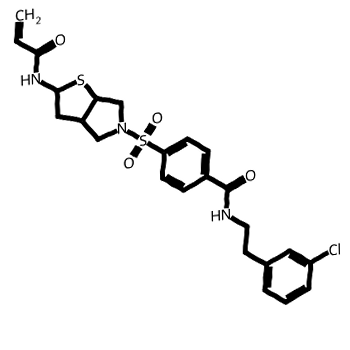 C=CC(=O)NC1CC2CN(S(=O)(=O)c3ccc(C(=O)NCCc4cccc(Cl)c4)cc3)CC2S1